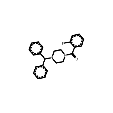 O=C(c1ccccc1F)N1CCN(C(c2ccccc2)c2ccccc2)CC1